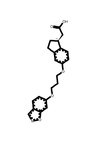 O=C(O)C[C@@H]1CCc2cc(OCCCOc3ccc4cnoc4c3)ccc21